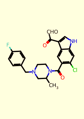 CC1CN(Cc2ccc(F)cc2)CCN1C(=O)c1cc2c(C(=O)C=O)c[nH]c2cc1Cl